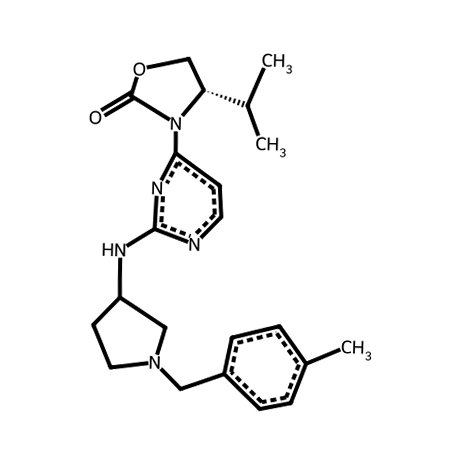 Cc1ccc(CN2CCC(Nc3nccc(N4C(=O)OC[C@@H]4C(C)C)n3)C2)cc1